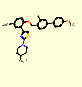 COc1ccc(OCc2ccc(-c3ccc(OC(F)(F)F)cc3)cc2C)c(-c2csc(N3CCC(C(=O)O)CC3)n2)c1